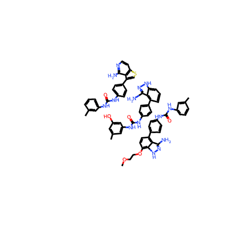 COCCOc1ccc(-c2ccc(NC(=O)Nc3cccc(C)c3)cc2)c2c(N)n[nH]c12.Cc1cc(O)cc(NC(=O)Nc2ccc(-c3cccc4[nH]nc(N)c34)cc2)c1.Cc1cccc(NC(=O)Nc2ccc(-c3csc4ccnc(N)c34)cc2)c1